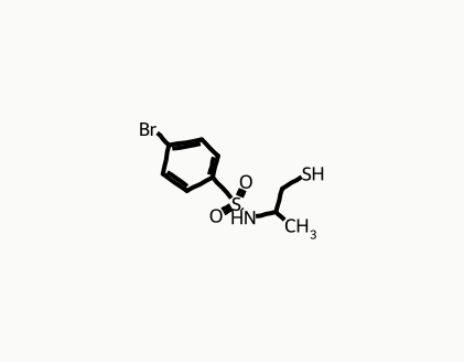 CC(CS)NS(=O)(=O)c1ccc(Br)cc1